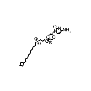 Nc1ccn(C[C@H]2COP(=O)(OCCCS(=O)(=O)CCCCCCCCCCC3CCC3)CO2)c(=O)n1